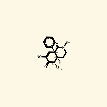 CC(C)N1CC[C@H]2[C@H](C)C(=O)C(C#N)=C[C@]2(c2ccccc2)C1=O